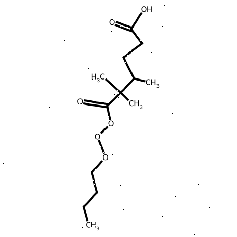 CCCCOOOC(=O)C(C)(C)C(C)CCC(=O)O